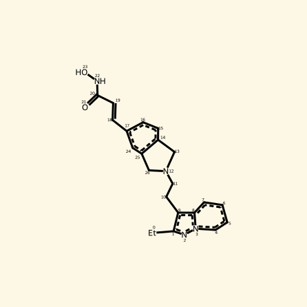 CCc1nn2ccccc2c1CCN1Cc2ccc(C=CC(=O)NO)cc2C1